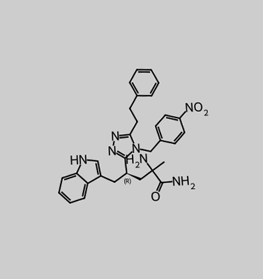 CC(N)(C[C@@H](Cc1c[nH]c2ccccc12)c1nnc(CCc2ccccc2)n1Cc1ccc([N+](=O)[O-])cc1)C(N)=O